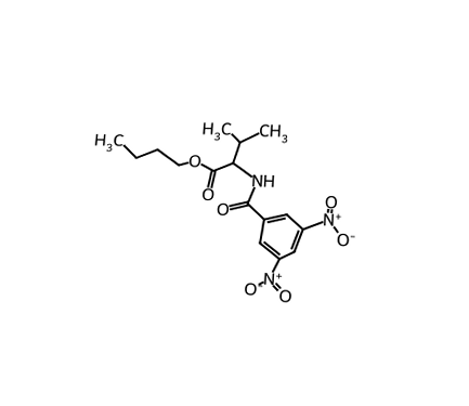 CCCCOC(=O)C(NC(=O)c1cc([N+](=O)[O-])cc([N+](=O)[O-])c1)C(C)C